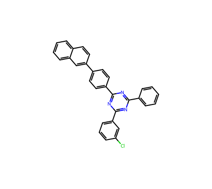 Clc1cccc(-c2nc(-c3ccccc3)nc(-c3ccc(-c4ccc5ccccc5c4)cc3)n2)c1